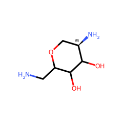 NCC1OC[C@@H](N)C(O)C1O